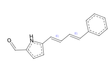 O=Cc1ccc(/C=C/C=C/c2ccccc2)[nH]1